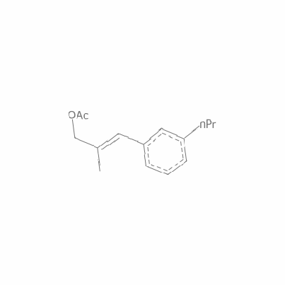 CCCc1cccc(/C=C(\C)COC(C)=O)c1